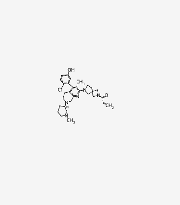 C=CC(=O)N1CC2(CCN(c3nc4c(c(-c5cc(O)ccc5Cl)c3C)CCN([C@@H]3CCCN(C)C3)C4)C2)C1